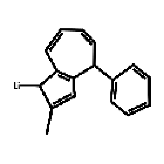 [Li][CH]1C(C)=CC2=C1C=CC=CC2c1ccccc1